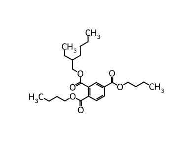 CCCCOC(=O)c1ccc(C(=O)OCCCC)c(C(=O)OCC(CC)CCCC)c1